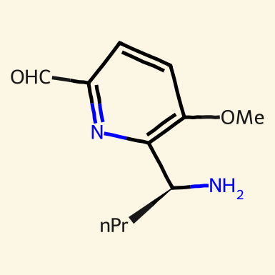 CCC[C@H](N)c1nc(C=O)ccc1OC